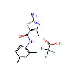 Cc1ccc(NC(=O)c2sc(N)nc2C)c(C)c1.O=C(O)C(F)(F)F